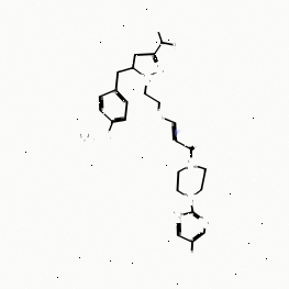 COc1ccc(CC2CC(C(F)F)=NN2CCO/C=C/C(=O)N2CCN(c3ncc(C(F)(F)F)cn3)CC2)cc1